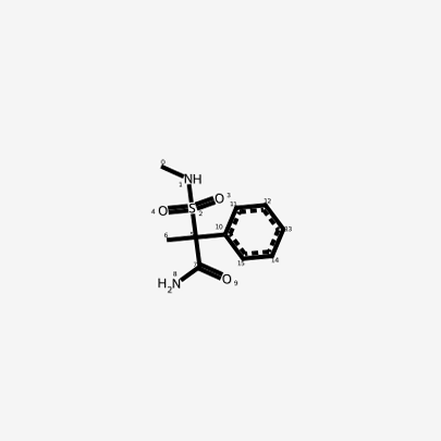 CNS(=O)(=O)C(C)(C(N)=O)c1ccccc1